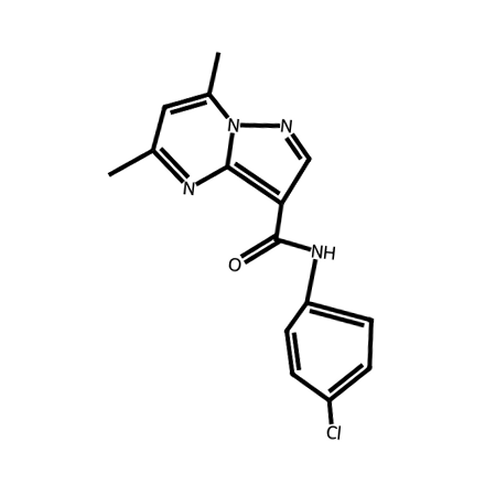 Cc1cc(C)n2ncc(C(=O)Nc3ccc(Cl)cc3)c2n1